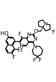 CCc1c(F)ccc2cc(O)cc(-c3ncc4c(N5CCCC(F)(F)CC5)nc(OC[C@@]56CCCN5C[C@H](F)C6)nc4c3F)c12